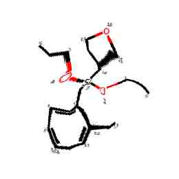 CCO[Si](OCC)(c1ccccc1C)C1COC1